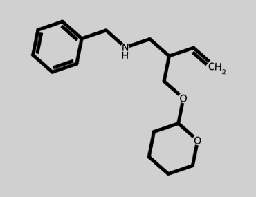 C=CC(CNCc1ccccc1)COC1CCCCO1